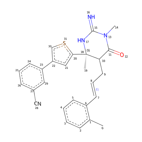 Cc1ccccc1/C=C/CC1C(=O)N(C)C(=N)N[C@]1(C)c1cc(-c2cccc(C#N)c2)cs1